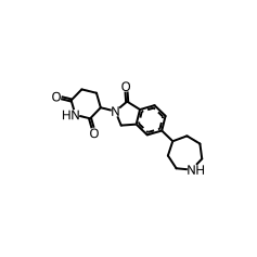 O=C1CCC(N2Cc3cc(C4CCCNCC4)ccc3C2=O)C(=O)N1